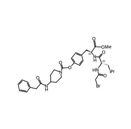 COC(=O)[C@H](Cc1ccc(OC(=O)N2CCC(NC(=O)Cc3ccccc3)CC2)cc1)NC(=O)[C@H](CC(C)C)NC(=O)CBr